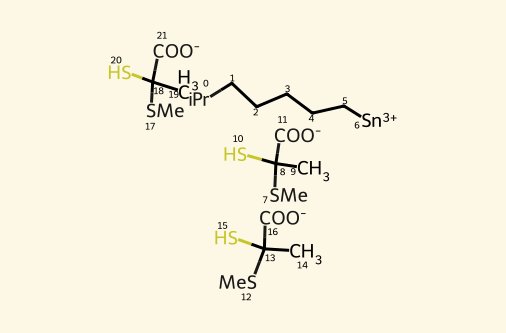 CC(C)CCCC[CH2][Sn+3].CSC(C)(S)C(=O)[O-].CSC(C)(S)C(=O)[O-].CSC(C)(S)C(=O)[O-]